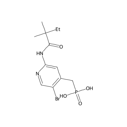 CCC(C)(C)C(=O)Nc1cc(CP(=O)(O)O)c(Br)cn1